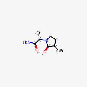 CCCC1CCN([C@@H](CC)C(N)=O)C1=O